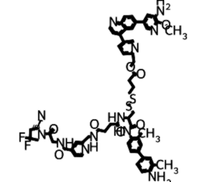 COc1ncc(-c2ccc3nccc(-c4ccc(COC(=O)CCCSSCC(NC(=O)CCC(=O)NCc5cc(C(=O)NCC(=O)N6CC(F)(F)C[C@H]6C#N)ccn5)C(=O)Nc5ccc(-c6ccc(N)c(C)c6)cc5C)nc4)c3c2)cc1N